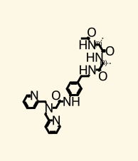 CC(=O)N[C@H](C)C(=O)N[C@H](C)C(=O)NCCc1ccc(NC(=O)CN(Cc2ccccn2)Cc2ccccn2)cc1